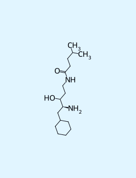 CC(C)CCC(=O)NCCC(O)[C@@H](N)CC1CCCCC1